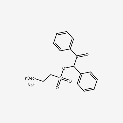 CCCCCCCCCCCCS(=O)(=O)OC(C(=O)c1ccccc1)c1ccccc1.[NaH]